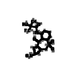 CC(O)(C(=O)Nc1cccc2c1C(=O)c1sc([N+](=O)[O-])cc1CS2(=O)=O)C(F)(F)F